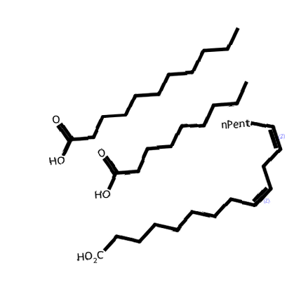 CCCCC/C=C\C/C=C\CCCCCCCC(=O)O.CCCCCCCCC(=O)O.CCCCCCCCCCC(=O)O